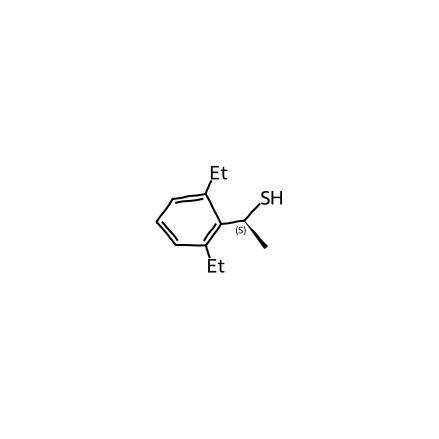 CCc1cccc(CC)c1[C@H](C)S